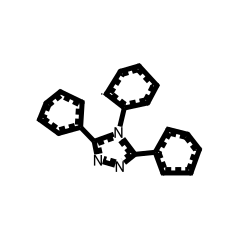 [c]1ccccc1-n1c(-c2ccccc2)nnc1-c1ccccc1